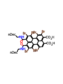 CCCCCCCCCCCNC(=O)c1c(Br)c(Br)c2c3c(Br)cc(C(=O)O)c4c(C(=O)O)c(Br)c(Br)c(c5c(Br)c(Br)c(C(=O)NCCCCCCCCCCC)c1c25)c43